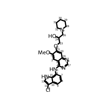 COc1cc2c(Nc3cccc4c(Cl)c[nH]c34)ncnc2cc1OCC(O)CN1CCCCC1